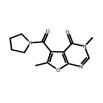 Cc1oc2ncn(C)c(=O)c2c1C(=O)N1CCCC1